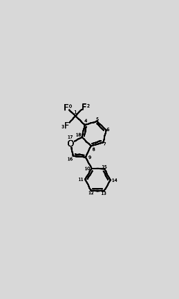 FC(F)(F)c1cccc2c(-c3ccccc3)coc12